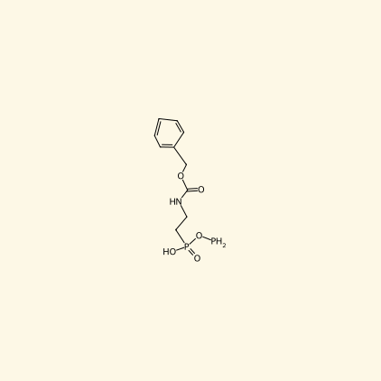 O=C(NCCP(=O)(O)OP)OCc1ccccc1